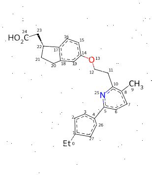 CCc1ccc(-c2ccc(C)c(CCOc3ccc4c(c3)CC[C@H]4CC(=O)O)n2)cc1